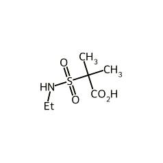 CCNS(=O)(=O)C(C)(C)C(=O)O